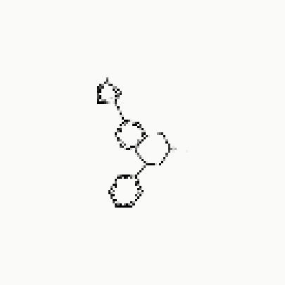 CN1Cc2cc(-c3ccsc3)ccc2C(c2ccccc2)C1